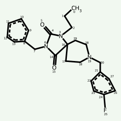 CCCN1C(=O)N(Cc2ccccc2)C(=O)C12CCN(Cc1ccc(F)cc1)CC2